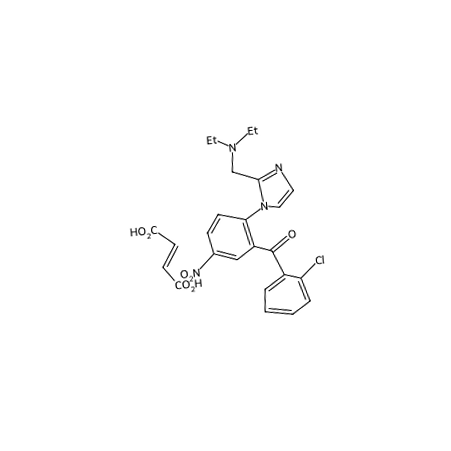 CCN(CC)Cc1nccn1-c1ccc([N+](=O)[O-])cc1C(=O)c1ccccc1Cl.O=C(O)/C=C/C(=O)O